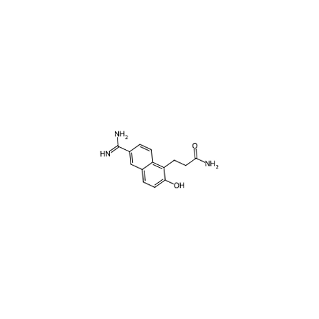 N=C(N)c1ccc2c(CCC(N)=O)c(O)ccc2c1